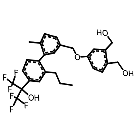 CCCc1cc(C(O)(C(F)(F)F)C(F)(F)F)ccc1-c1cc(COc2ccc(CO)c(CO)c2)ccc1C